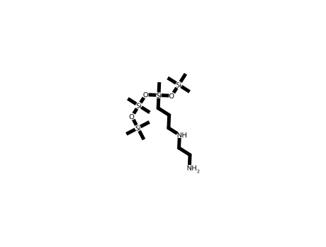 C[Si](C)(C)O[Si](C)(C)O[Si](C)(CCCNCCN)O[Si](C)(C)C